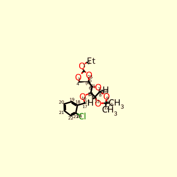 CCOC1OC[C@H]([C@H]2O[C@@H]3OC(C)(C)O[C@@H]3[C@H]2OCc2ccccc2Cl)O1